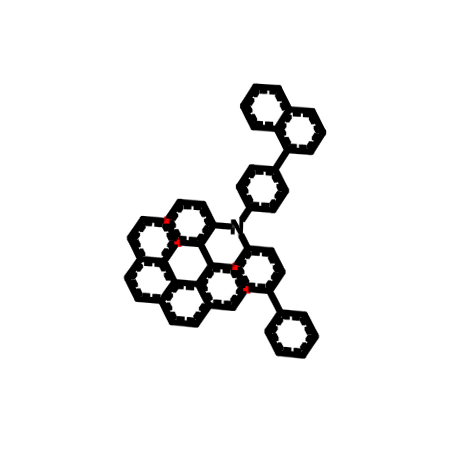 c1ccc(-c2ccc(N(c3ccc(-c4cccc5ccccc45)cc3)c3ccccc3-c3cccc4ccc5ccc6ccccc6c5c34)cc2)cc1